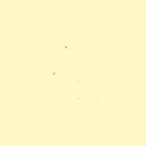 C=Nc1ccccc1/C=C\Cc1cc2ncccc2cn1